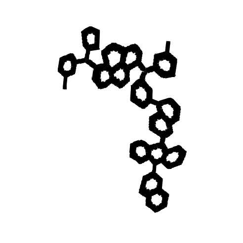 Cc1cccc(N(c2ccccc2)c2ccc3ccc4c(N(c5cccc(C)c5)c5cccc(-c6cccc7cc(-c8c9ccccc9c(-c9ccc%10ccccc%10c9)c9ccccc89)ccc67)c5)ccc5ccc2c3c54)c1